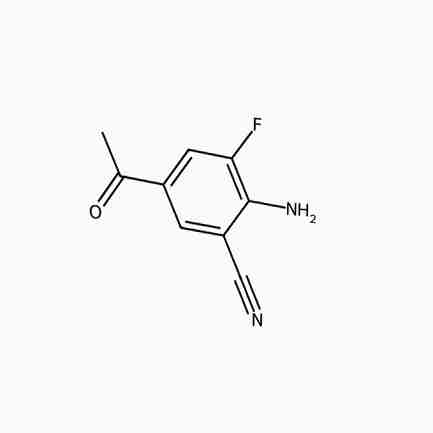 CC(=O)c1cc(F)c(N)c(C#N)c1